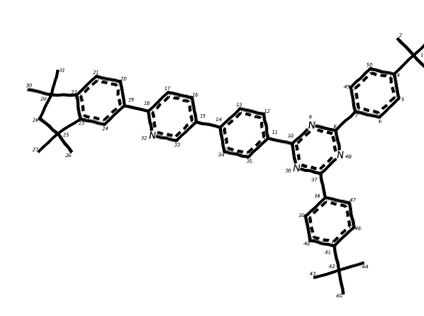 CC(C)(C)c1ccc(-c2nc(-c3ccc(-c4ccc(-c5ccc6c(c5)C(C)(C)CC6(C)C)nc4)cc3)nc(-c3ccc(C(C)(C)C)cc3)n2)cc1